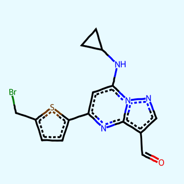 O=Cc1cnn2c(NC3CC3)cc(-c3ccc(CBr)s3)nc12